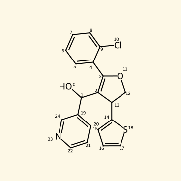 OC(C1=C(c2ccccc2Cl)OCC1c1cccs1)c1cccnc1